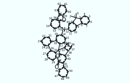 CC1(C)c2ccccc2-c2ccc(N(c3ccc4c(c3)-c3ccccc3-c3ccccc3C43c4ccccc4-c4cc5c(cc43)oc3ccccc35)c3cccc4c3oc3ccccc34)cc21